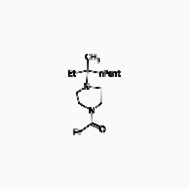 CCCCCC(C)(CC)N1CCN(C(=O)CC)CC1